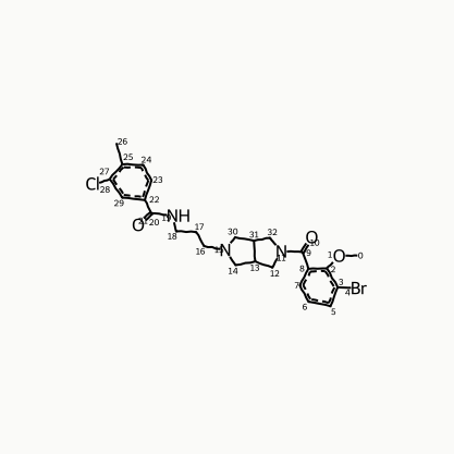 COc1c(Br)cccc1C(=O)N1CC2CN(CCCNC(=O)c3ccc(C)c(Cl)c3)CC2C1